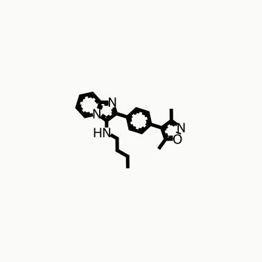 CCCCNc1c(-c2ccc(-c3c(C)noc3C)cc2)nc2ccccn12